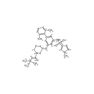 Cc1cccc(C)c1-c1cc(OC2CCCN(C(=O)OC(C)(C)C)C2)nc(NS(=O)(=O)c2cnn(C)c2)n1